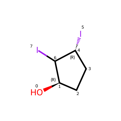 O[C@@H]1CC[C@@H](I)C1I